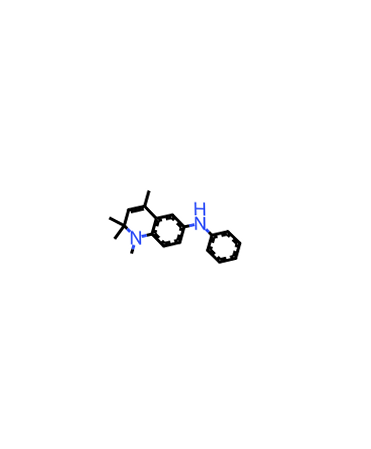 CC1=CC(C)(C)N(C)c2ccc(Nc3ccccc3)cc21